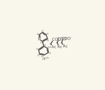 CC(=O)CC(=O)[O-].CC(=O)CC(=O)[O-].CC(=O)CC(=O)[O-].[Ir+3].c1ccc(-c2ccccn2)cc1